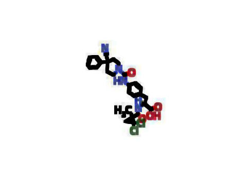 CC1(C(=O)N[C@@H](Cc2ccc(NC(=O)N3CCC(C#N)(c4ccccc4)CC3)cc2)C(=O)O)CC1(Cl)Cl